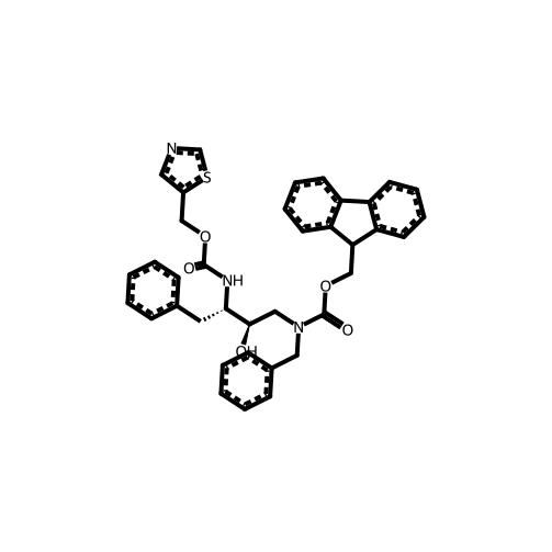 O=C(N[C@@H](Cc1ccccc1)[C@H](O)CN(Cc1ccccc1)C(=O)OCC1c2ccccc2-c2ccccc21)OCc1cncs1